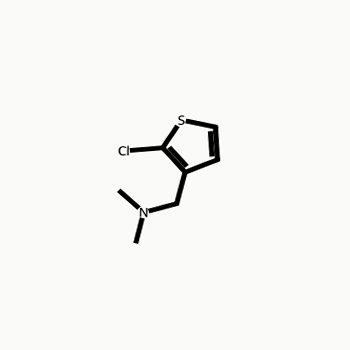 CN(C)Cc1ccsc1Cl